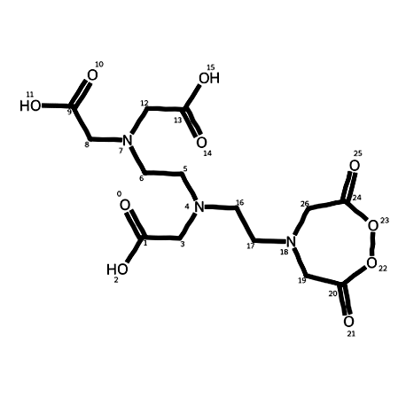 O=C(O)CN(CCN(CC(=O)O)CC(=O)O)CCN1CC(=O)OOC(=O)C1